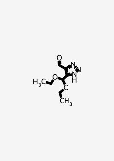 CCOC(OCC)c1[nH]nnc1C=O